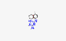 Cc1ccc(/N=C(/N=C(N(C)C)N(C)C)NC2CCCCC2)cc1